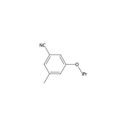 Cc1cc(C#N)cc(OC(C)C)c1